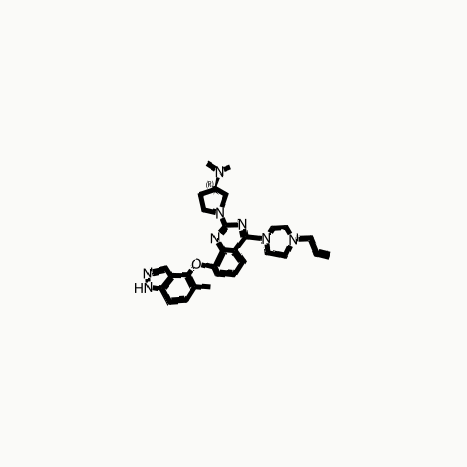 C=CCN1CCN(c2nc(N3CC[C@@H](N(C)C)C3)nc3c(Oc4c(C)ccc5[nH]ncc45)cccc23)CC1